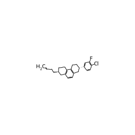 C=CCC[C@H]1CCc2c(ccc3c2CC[C@H](c2ccc(Cl)c(F)c2)C3)C1